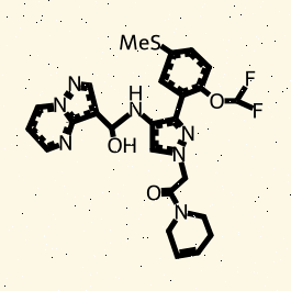 CSc1ccc(OC(F)F)c(-c2nn(CC(=O)N3CC=CCC3)cc2NC(O)c2cnn3cccnc23)c1